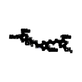 C=C1SC(SC)=C(SCSC2=C(SC)S/C(=C/CCCC3(C)SC(SC)=C(SC)S3)S2)S1